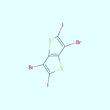 Brc1c(I)sc2c(Br)c(I)sc12